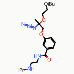 CC(C)COCCOC(C)(COc1cccc(C(=O)NCCNC(C)C)c1)N=[N+]=[N-]